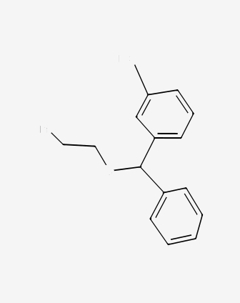 CC(C)CCSC(c1c[c]ccc1)c1cccc(C(F)(F)F)c1